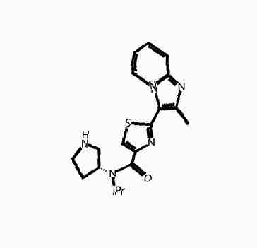 Cc1nc2ccccn2c1-c1nc(C(=O)N(C(C)C)[C@@H]2CCNC2)cs1